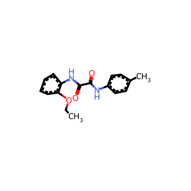 CCOc1ccccc1NC(=O)C(=O)Nc1ccc(C)cc1